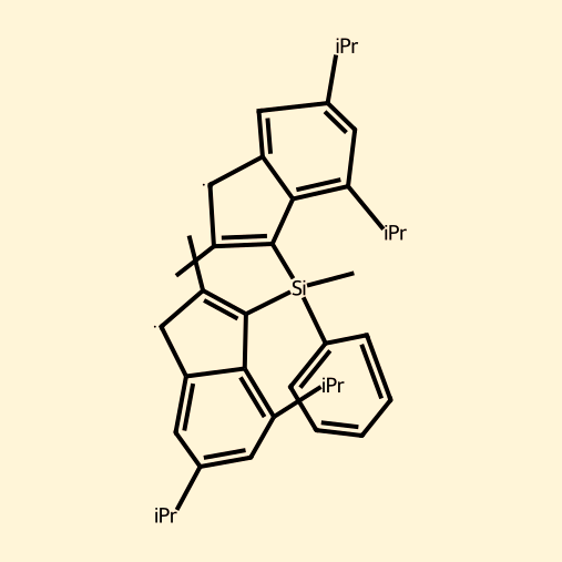 CC1=C([Si](C)(C2=C(C)[CH]c3cc(C(C)C)cc(C(C)C)c32)c2ccccc2)c2c(cc(C(C)C)cc2C(C)C)[CH]1